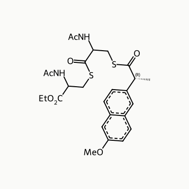 CCOC(=O)C(CSC(=O)C(CSC(=O)[C@H](C)c1ccc2cc(OC)ccc2c1)NC(C)=O)NC(C)=O